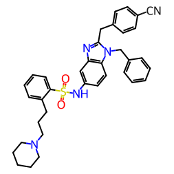 N#Cc1ccc(Cc2nc3cc(NS(=O)(=O)c4ccccc4CCCN4CCCCC4)ccc3n2Cc2ccccc2)cc1